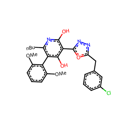 CCCCc1nc(O)c(-c2nnc(Cc3cccc(Cl)c3)o2)c(O)c1-c1c(OC)cccc1OC